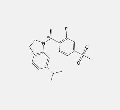 CC(C)c1ccc2c(c1)N([C@@H](C)c1ccc(S(C)(=O)=O)cc1F)CC2